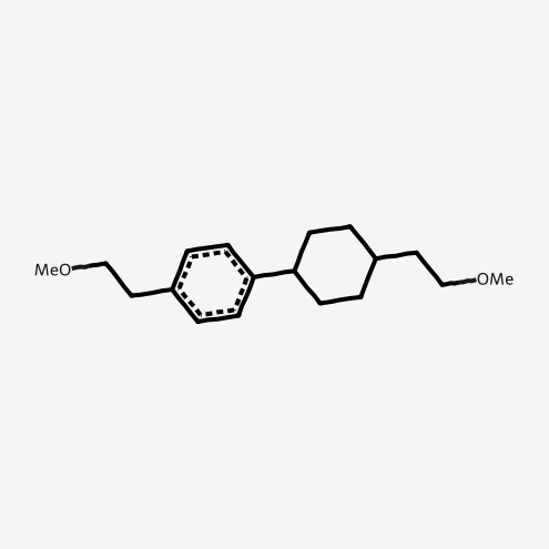 COCCc1ccc(C2CCC(CCOC)CC2)cc1